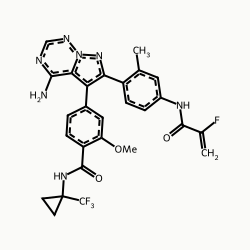 C=C(F)C(=O)Nc1ccc(-c2nn3ncnc(N)c3c2-c2ccc(C(=O)NC3(C(F)(F)F)CC3)c(OC)c2)c(C)c1